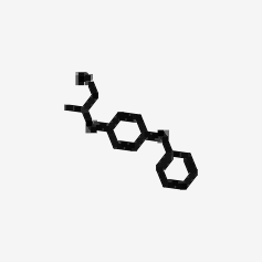 CC(C)CC(C)N=C1C=CC(=Nc2ccccc2)C=C1